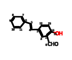 O=Cc1cc(C=Cc2ccccc2)ccc1O